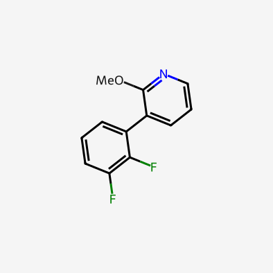 COc1ncccc1-c1cccc(F)c1F